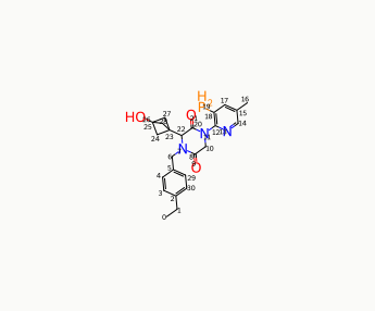 CCc1ccc(CN2C(=O)CN(c3ncc(C)cc3P)C(=O)C2C23CC(O)(C2)C3)cc1